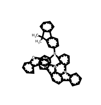 CC1(C)c2ccccc2-c2ccc(N(c3ccc4c(c3)oc3ccccc34)c3cccc4c3n3c5ccccc5c5ccc6c7ccccc7n4c6c53)cc21